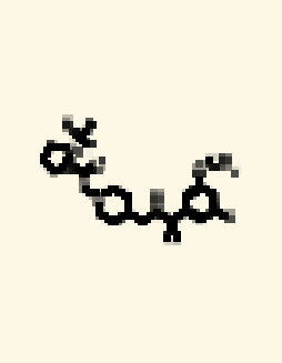 COc1cc(F)cc(C(=O)NCC2CCN(CC(=O)N3CCC[C@@H]3C(F)(F)F)CC2)c1